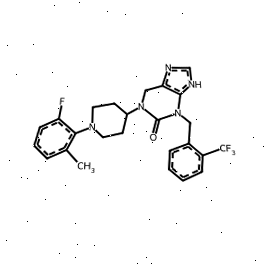 Cc1cccc(F)c1N1CCC(N2Cc3nc[nH]c3N(Cc3ccccc3C(F)(F)F)C2=O)CC1